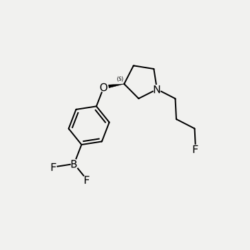 FCCCN1CC[C@H](Oc2ccc(B(F)F)cc2)C1